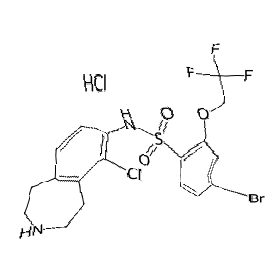 Cl.O=S(=O)(Nc1ccc2c(c1Cl)CCNCC2)c1ccc(Br)cc1OCC(F)(F)F